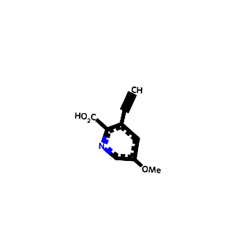 C#Cc1cc(OC)cnc1C(=O)O